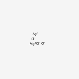 [Ag+].[Cl-].[Cl-].[Cl-].[Mg+2]